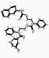 O=C(Nc1ccc2ccccc2c1)OCCN(C(=O)OCCN(C(=O)c1cncc(Br)c1)c1ccccc1)c1ccccc1